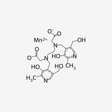 Cc1ncc(CO)c(CN(CCN(CC(=O)[O-])Cc2c(CO)cnc(C)c2O)CC(=O)[O-])c1O.[Mn+2]